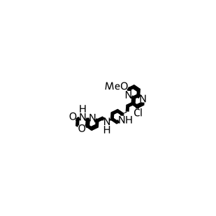 COc1ccc2ncc(Cl)c(CC[C@H]3CC[C@H](NCc4ccc5c(n4)NC(=O)CO5)CN3)c2n1